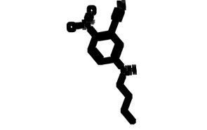 CCCCNc1ccc([N+](=O)[O-])c(C#N)c1